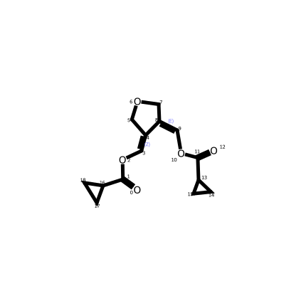 O=C(O/C=C1\COC\C1=C\OC(=O)C1CC1)C1CC1